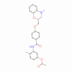 CC(=O)Oc1ccc(C)c(NC(=O)c2ccc(OC[C@@H]3CN(C)c4ccccc4O3)cc2)c1